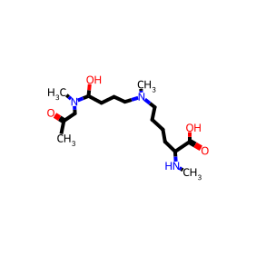 CNC(CCCCN(C)CCCC(O)N(C)CC(C)=O)C(=O)O